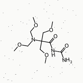 COCN(COC)C(COC)(COC)C(=O)NC(N)=O